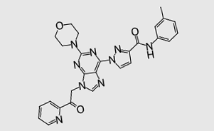 Cc1cccc(NC(=O)c2ccn(-c3nc(N4CCOCC4)nc4c3ncn4CC(=O)c3ccccn3)n2)c1